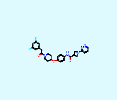 O=C(Nc1ccc(OC2CCN(C(=O)Cc3cc(F)cc(F)c3)CC2)cc1)C1CN(c2cccnn2)C1